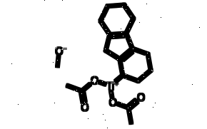 CC(=O)[O][Ti+]([O]C(C)=O)[CH]1CCCC2=C1CC1=C2CCCC1.C[O-]